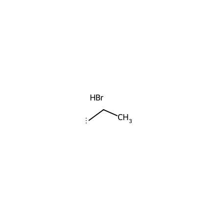 Br.[C]CC